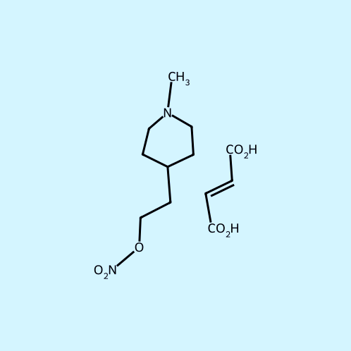 CN1CCC(CCO[N+](=O)[O-])CC1.O=C(O)C=CC(=O)O